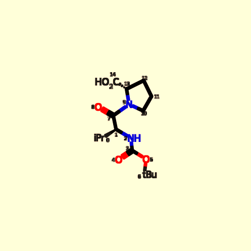 CC(C)[C@H](NC(=O)OC(C)(C)C)C(=O)N1CCC[C@H]1C(=O)O